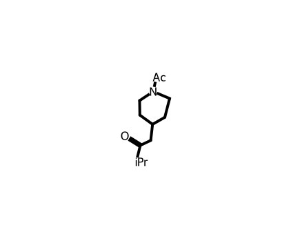 CC(=O)N1CCC(CC(=O)C(C)C)CC1